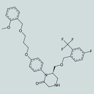 COc1ccccc1COCCCOc1ccc(N2C(=O)CNC[C@@H]2COCc2ccc(F)cc2C(F)(F)F)cc1